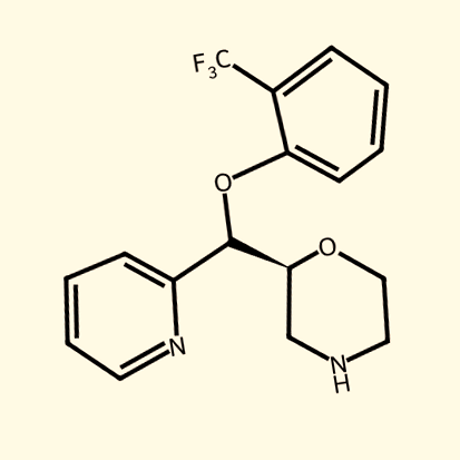 FC(F)(F)c1ccccc1OC(c1ccccn1)[C@@H]1CNCCO1